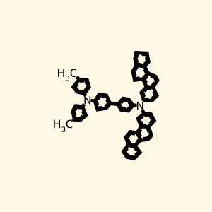 Cc1ccc(N(c2ccc(C)cc2)c2ccc(-c3ccc(N(c4ccc5ccc6c7ccccc7ccc6c5c4)c4ccc5ccc6c7ccccc7ccc6c5c4)cc3)cc2)cc1